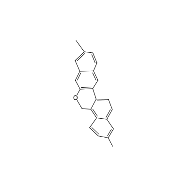 Cc1ccc2cc3c(cc2c1)OCc1c-3ccc2cc(C)ccc12